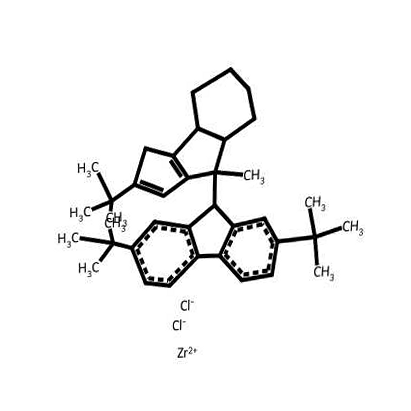 CC(C)(C)C1=CC2=C(C1)C1CCCCC1C2(C)C1c2cc(C(C)(C)C)ccc2-c2ccc(C(C)(C)C)cc21.[Cl-].[Cl-].[Zr+2]